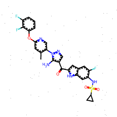 Cc1cc(Oc2cccc(F)c2F)ncc1-n1ncc(C(=O)c2cc3cc(F)c(NS(=O)(=O)C4CC4)cc3[nH]2)c1N